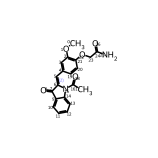 COc1cc(/C=C2/C(=O)c3ccccc3N2C(C)=O)ccc1OCC(N)=O